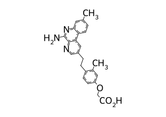 Cc1ccc2c(c1)nc(N)c1ncc(CCc3ccc(OCC(=O)O)cc3C)cc12